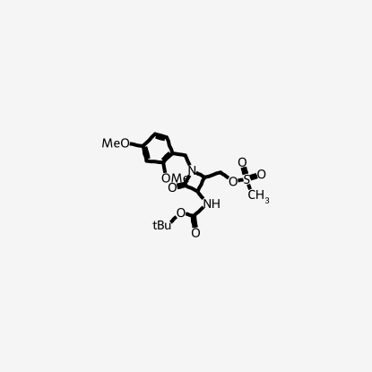 COc1ccc(CN2C(=O)C(NC(=O)OC(C)(C)C)C2COS(C)(=O)=O)c(OC)c1